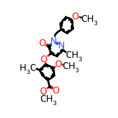 COC(=O)c1cc(C)c(Oc2cc(C)nn(Cc3ccc(OC)cc3)c2=O)c(OC)c1